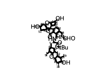 CC(C)(C)OC(=O)[C@H](Cc1cc(I)c(Oc2cc(I)c(O)c(I)c2)c(I)c1)NCc1c(CNC=O)ccc2c1C(=O)OC21c2ccc(O)cc2Oc2cc(O)ccc21